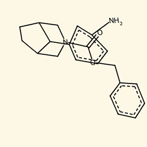 Nc1cccc(C2C3CCC2CN(C(=O)OCc2ccccc2)C3)c1